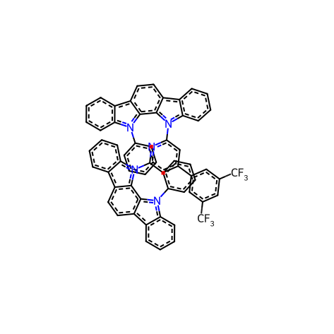 FC(F)(F)c1cc(-c2cc(-n3c4ccccc4c4ccc5c6ccccc6n(-c6ccccc6)c5c43)nc(-n3c4ccccc4c4ccc5c6ccccc6n(-c6ccccc6)c5c43)c2)cc(C(F)(F)F)c1